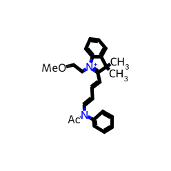 COCC[N+]1=C(/C=C/C=C/N(C(C)=O)c2ccccc2)C(C)(C)c2ccccc21